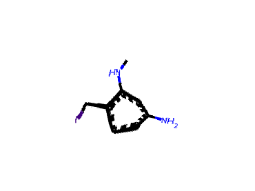 CNc1cc(N)ccc1CI